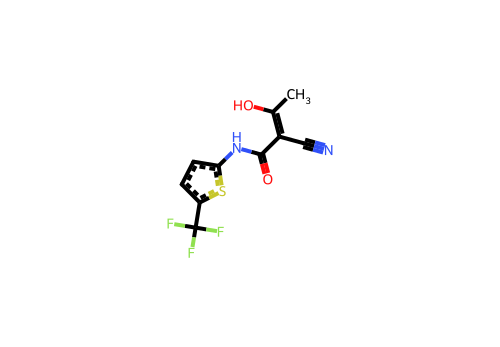 CC(O)=C(C#N)C(=O)Nc1ccc(C(F)(F)F)s1